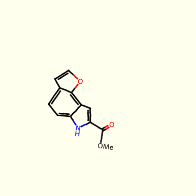 COC(=O)c1cc2c(ccc3ccoc32)[nH]1